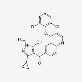 Cn1nc(C2CC2)c(C(=O)c2ccc3nccc(Oc4c(Cl)cccc4Cl)c3c2)c1O